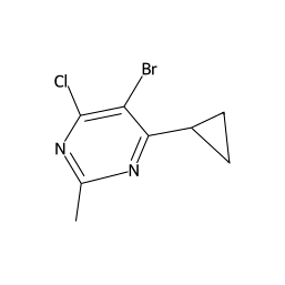 Cc1nc(Cl)c(Br)c(C2CC2)n1